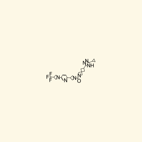 O=C(N1CC(c2ccc(N3CC(C(F)(F)F)C3)cn2)C1)N1CC2(CC(c3nnc(C4CC4)[nH]3)C2)C1